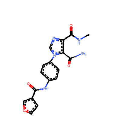 CNC(=O)c1ncn(-c2ccc(NC(=O)c3ccoc3)cc2)c1C(N)=O